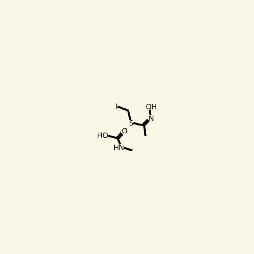 CC(=NO)SCI.CNC(=O)O